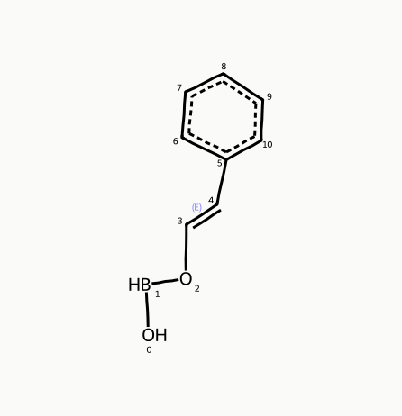 OBO/C=C/c1ccccc1